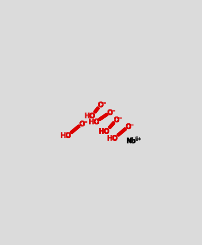 [Nb+5].[O-]O.[O-]O.[O-]O.[O-]O.[O-]O